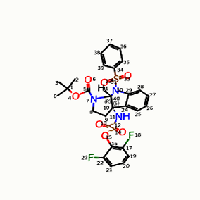 CC(C)(C)OC(=O)N1CC[C@]2(NS(=O)(=O)Oc3c(F)cccc3F)c3ccccc3N(S(=O)(=O)c3ccccc3)[C@@H]12